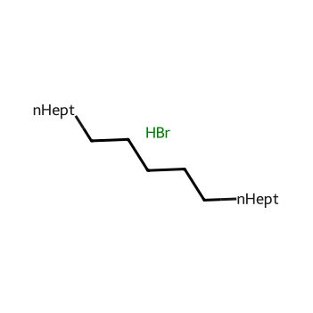 Br.CCCCCCCCCCCCCCCCCCC